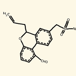 C=CCC1Oc2cccc(C=O)c2-c2ccc(CS(N)(=O)=O)cc21